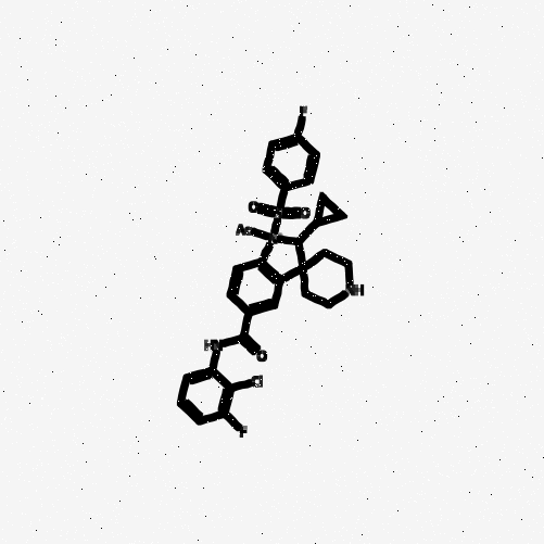 CC(=O)[N+]1(S(=O)(=O)c2ccc(F)cc2)c2ccc(C(=O)Nc3cccc(F)c3Cl)cc2C2(CCNCC2)C1C1CC1